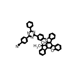 CC1(C)c2ccccc2-c2c1c1c(c3ccccc3n1-c1ccc(-c3nc(-c4ccccc4)nc(-c4ccc(C#N)cc4)n3)cc1)c1c2oc2ccccc21